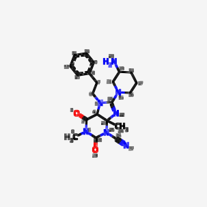 CN1C(=O)C2N(CCc3ccccc3)C(N3CCCC(N)C3)=NC2(C)N(C#N)C1=O